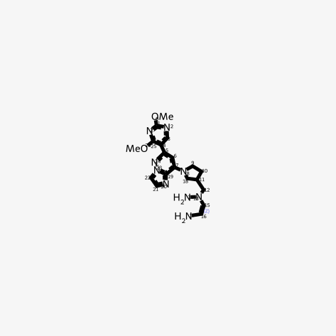 COc1ncc(-c2cc(N3CCC(CN(N)/C=C\N)C3)c3nccn3n2)c(OC)n1